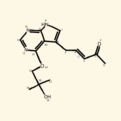 CC(=O)/C=C/Cc1c[nH]c2ncnc(OCC(C)(C)O)c12